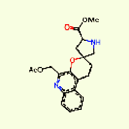 COC(=O)[C@@H]1CC2(CCc3c(c(COC(C)=O)nc4ccccc34)O2)CN1